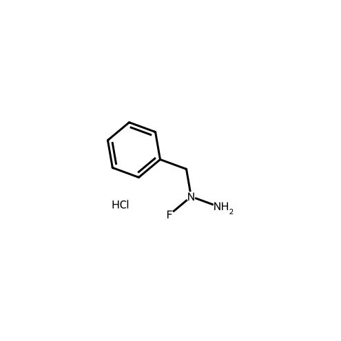 Cl.NN(F)Cc1ccccc1